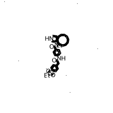 CCN(C(=O)c1ccc(NC(=O)Cc2ccc(S(=O)(=O)CC)cc2)cc1)C1CNCCC12CCCCCCCCCC2